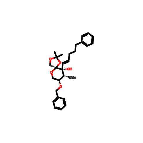 CO[C@@H]1[C@H](OCc2ccccc2)CO[C@]2(COC(C)(C)O2)[C@@]1(O)C=CCCCc1ccccc1